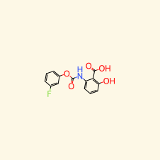 O=C(Nc1cccc(O)c1C(=O)O)Oc1cccc(F)c1